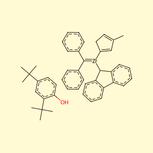 CC(C)(C)c1ccc(O)c(C(C)(C)C)c1.CC1=CC[C]([Zr](=[C](c2ccccc2)c2ccccc2)[CH]2c3ccccc3-c3ccccc32)=C1